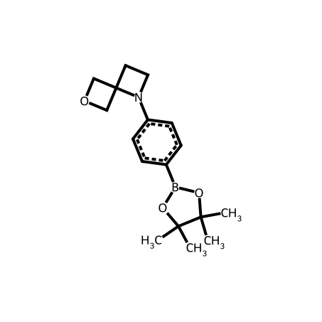 CC1(C)OB(c2ccc(N3CCC34COC4)cc2)OC1(C)C